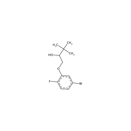 CC(C)(C)C(O)COc1cc(Br)ccc1F